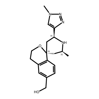 C[C@H]1C[C@@]2(C[C@@H](c3cn(C)nn3)N1)OCCc1cc(CO)ccc12